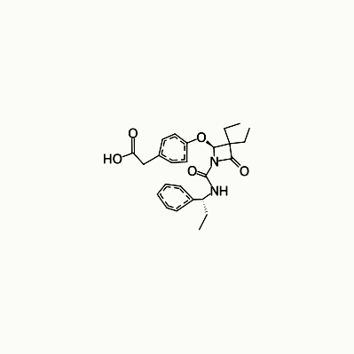 CC[C@@H](NC(=O)N1C(=O)C(CC)(CC)[C@@H]1Oc1ccc(CC(=O)O)cc1)c1ccccc1